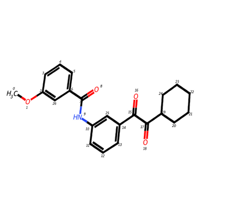 COc1cccc(C(=O)Nc2cccc(C(=O)C(=O)C3CCCCC3)c2)c1